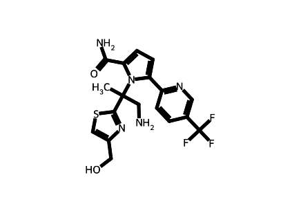 CC(CN)(c1nc(CO)cs1)n1c(C(N)=O)ccc1-c1ccc(C(F)(F)F)cn1